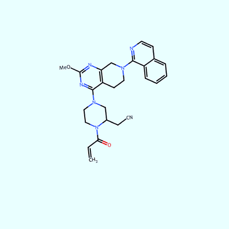 C=CC(=O)N1CCN(c2nc(OC)nc3c2CCN(c2nccc4ccccc24)C3)CC1CC#N